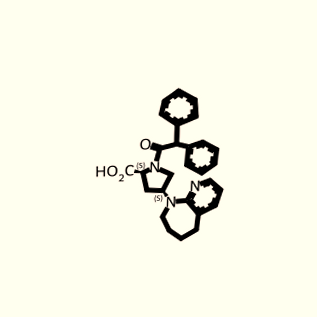 O=C(O)[C@@H]1C[C@H](N2CCCCc3cccnc32)CN1C(=O)C(c1ccccc1)c1ccccc1